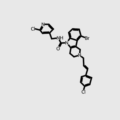 O=C(NCc1ccnc(Cl)c1)n1c2c(c3c(Br)cccc31)CN(CC=Cc1ccc(Cl)cc1)CC2